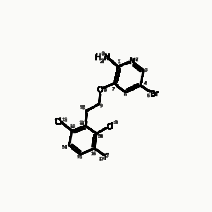 Nc1ncc(Br)cc1OCCc1c(Cl)ccc(F)c1Cl